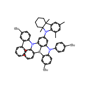 Cc1cc(C)c2c(c1)C1(C)CCCCC1(C)N2c1cc2c3c(c1)N(c1ccc(C(C)(C)C)cc1-c1ccccc1)c1ccccc1B3c1cc(C(C)(C)C)ccc1N2c1ccc(C(C)(C)C)cc1